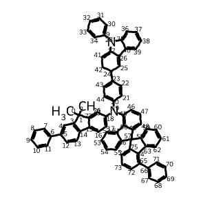 CC1(C)c2cc(-c3ccccc3)ccc2-c2ccc(N(c3ccc(C4C=c5c(n(-c6ccccc6)c6ccccc56)=CC4)cc3)c3cccc4c3-c3ccccc3C43c4ccccc4-c4c(-c5ccccc5)cccc43)cc21